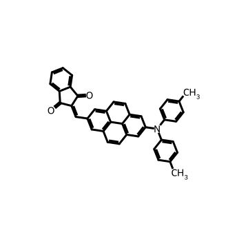 Cc1ccc(N(c2ccc(C)cc2)c2cc3ccc4cc(C=C5C(=O)c6ccccc6C5=O)cc5ccc(c2)c3c45)cc1